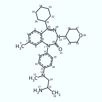 Cc1ccc2c(c1)N(c1ccc(N(C)CC(C)N)cc1)C(=O)N(C1CCOCC1)N=C2C1CCCCC1